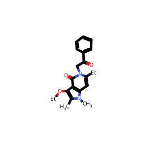 CCOc1c(C)n(C)c2cc(CC)n(CC(=O)c3ccccc3)c(=O)c12